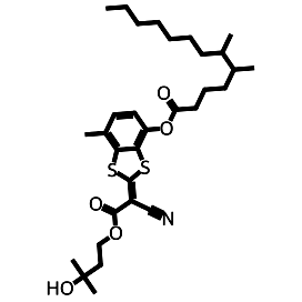 CCCCCCCC(C)C(C)CCCC(=O)Oc1ccc(C)c2c1S/C(=C(\C#N)C(=O)OCCC(C)(C)O)S2